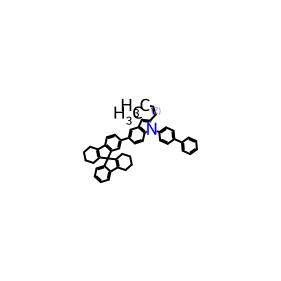 C/C=C\c1c(C)c2cc(-c3ccc4c(c3)C3(C5=C(CCCC5)c5ccccc53)C3=C4CCCC3)ccc2n1-c1ccc(-c2ccccc2)cc1